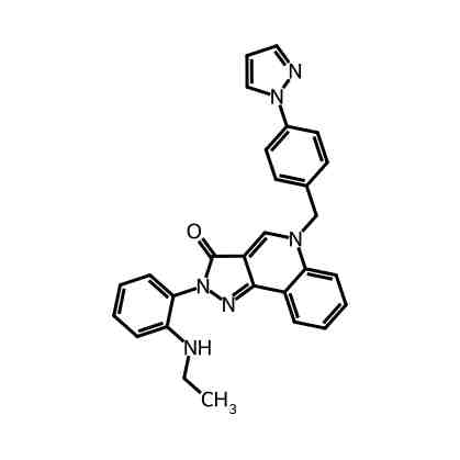 CCNc1ccccc1-n1nc2c3ccccc3n(Cc3ccc(-n4cccn4)cc3)cc-2c1=O